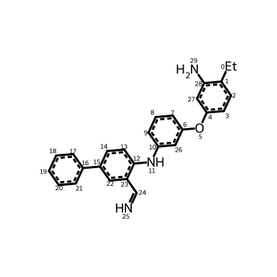 CCc1ccc(Oc2cccc(Nc3ccc(-c4ccccc4)cc3C=N)c2)cc1N